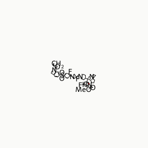 C=CC(=O)N1CCc2ccc(S(=O)(=O)c3ccc(N4CC(F)(CN5CCC([C@@](CN6CCC6)(c6cccc(F)c6)[C@H]6CCC[C@@H]6NC(=O)OC)CC5)C4)c(F)c3)cc21